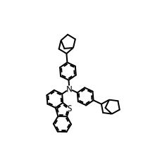 c1ccc2c(c1)sc1c(N(c3ccc(C4CC5CCC4C5)cc3)c3ccc(C4CC5CCC4C5)cc3)cccc12